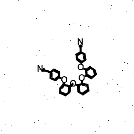 N#Cc1ccc(Oc2ccccc2Oc2ccccc2Oc2ccccc2Oc2ccc(C#N)cc2)cc1